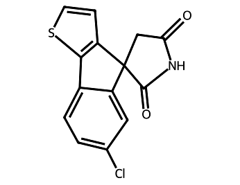 O=C1CC2(C(=O)N1)c1cc(Cl)ccc1-c1sccc12